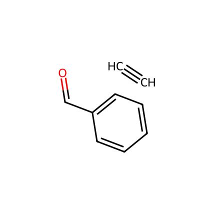 C#C.O=Cc1ccccc1